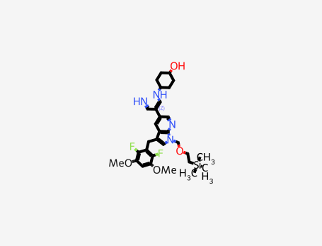 COc1cc(OC)c(F)c(Cc2cn(COCC[Si](C)(C)C)c3ncc(/C(C=N)=C/NC4CCC(O)CC4)cc23)c1F